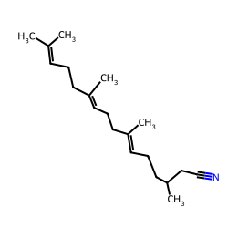 CC(C)=CCC/C(C)=C/CC/C(C)=C/CCC(C)CC#N